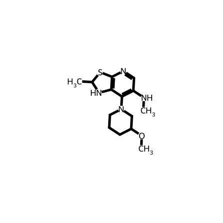 CNc1cnc2c(c1N1CCCC(OC)C1)NC(C)S2